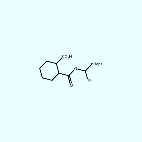 CCCCCCCC(OC(=O)C1CCCCC1C(=O)O)C(C)C